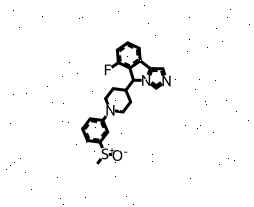 C[S+]([O-])c1cccc(N2CCC(C3c4c(F)cccc4-c4cncn43)CC2)c1